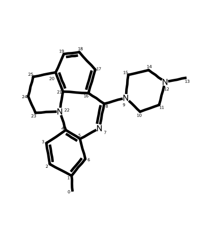 Cc1ccc2c(c1)N=C(N1CCN(C)CC1)c1cccc3c1N2CCC3